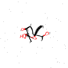 CC(=O)C1(C)CC(=O)C(C)(O)O1